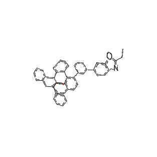 C=C1C(c2ccccc2-c2c(-c3cccc(-c4ccc5nc(CC)oc5c4)c3)ccc3ccccc23)=c2ccccc2=CC1c1ccccc1